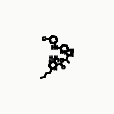 CCCCc1cnc(N)c(C(=O)N[C@H](C)c2nnc3ccc(Nc4cccc(Cl)c4)nn23)n1